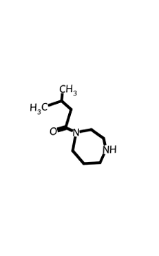 CC(C)CC(=O)N1CCCNCC1